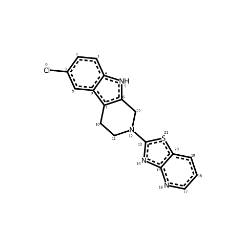 Clc1ccc2[nH]c3c(c2c1)CCN(c1nc2ncccc2s1)C3